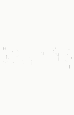 O=C(CCN1CCC(NC[C@H](O)c2ccc(O)c3[nH]c(=O)ccc23)CC1)NCc1cc(Cl)ccc1F